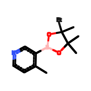 CCC1(C)OB(c2cnccc2C)OC1(C)C